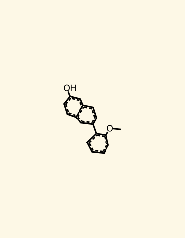 COc1ccccc1-c1ccc2cc(O)ccc2c1